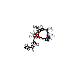 C=C(CN1C(=O)CCC1=O)C1CCC(CN2C(=O)CC(SCCC(=O)N(C)[C@@H](C)C(=O)O[C@H]3CC(=O)N(C)c4cc(cc(OC)c4Cl)C/C(C)=C/C=C/[C@@H](OC)[C@@]4(O)CC(OC(=O)N4)C4(C)C[C@@]3(C)O4)C2=O)CC1